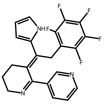 Fc1c(F)c(F)c(CC(=C2CCCN=C2c2cccnc2)c2ccc[nH]2)c(F)c1F